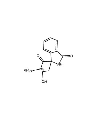 CCCCCCNC(=O)C1(CCO)NC(=O)c2ccccc21